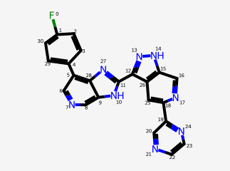 Fc1ccc(-c2cncc3[nH]c(-c4n[nH]c5cnc(-c6cnccn6)cc45)nc23)cc1